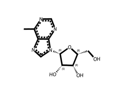 Cc1ncnc2c1ncn2[C@@H]1O[C@H](CO)[C@H](O)[C@@H]1O